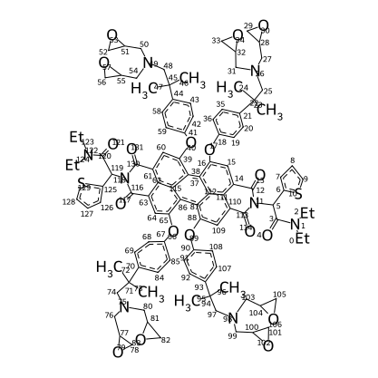 CCN(CC)C(=O)C(c1cccs1)N1C(=O)c2cc(Oc3ccc(C(C)(C)CN(CC4CO4)CC4CO4)cc3)c3c4c(Oc5ccc(C(C)(C)CN(CC6CO6)CC6CO6)cc5)cc5c6c(cc(Oc7ccc(C(C)(C)CN(CC8CO8)CC8CO8)cc7)c(c7c(Oc8ccc(C(C)(C)CN(CC9CO9)CC9CO9)cc8)cc(c2c37)C1=O)c64)C(=O)N(C(C(=O)N(CC)CC)c1cccs1)C5=O